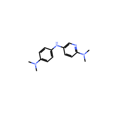 CN(C)c1ccc(Nc2ccc(N(C)C)nc2)cc1